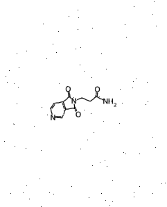 NC(=O)CCN1C(=O)c2ccncc2C1=O